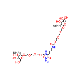 CC(=O)NC1C(OCCOCCOCCOCC(=O)NC(CCCCNC(=O)COCCOCCOCCOC2OC3CC(O)(O)C3C(O)C2NC(C)=O)C(N)=O)OC(CO)C(CO)C1O